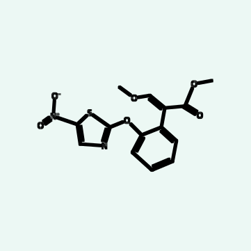 CO/C=C(/C(=O)OC)c1ccccc1Oc1ncc([N+](=O)[O-])s1